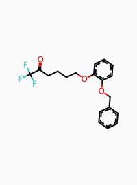 O=C(CCCCOc1ccccc1OCc1ccccc1)C(F)(F)F